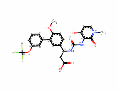 COc1ccc([C@H](CC(=O)O)NC(=O)Nc2c(O)ccn(C)c2=O)cc1-c1cccc(OC(F)(F)F)c1